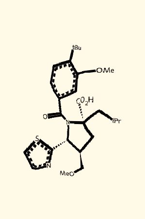 COC[C@@H]1C[C@@](CC(C)C)(C(=O)O)N(C(=O)c2ccc(C(C)(C)C)c(OC)c2)[C@H]1c1nccs1